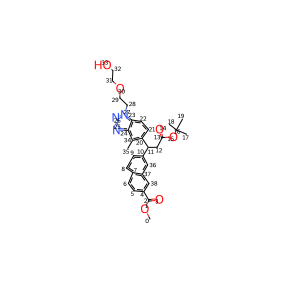 COC(=O)c1ccc2ccc(C(CC(=O)OC(C)(C)C)c3ccc4c(nnn4CCOCCO)c3C)cc2c1